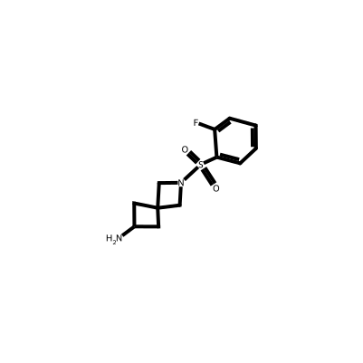 NC1CC2(C1)CN(S(=O)(=O)c1ccccc1F)C2